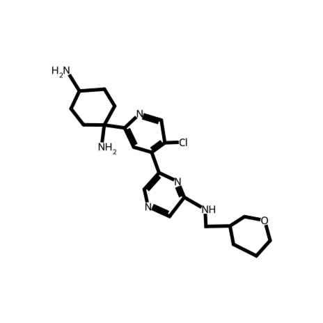 NC1CCC(N)(c2cc(-c3cncc(NCC4CCCOC4)n3)c(Cl)cn2)CC1